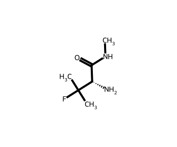 CNC(=O)[C@H](N)C(C)(C)F